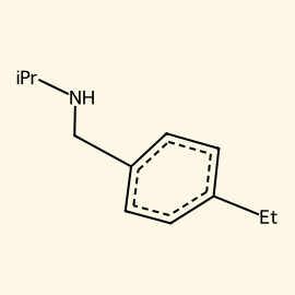 CCc1ccc(CNC(C)C)cc1